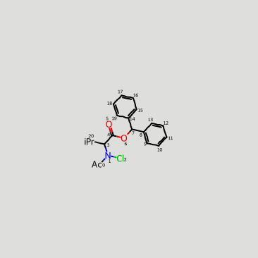 CC(=O)N(Cl)C(C(=O)OC(c1ccccc1)c1ccccc1)C(C)C